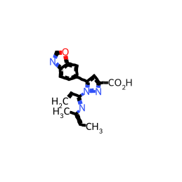 C=C/C(=N\C(C)=C/C)n1nc(C(=O)O)cc1-c1ccc2ncoc2c1